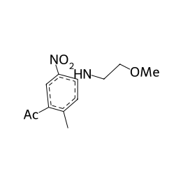 COCCNc1cc(C)c(C(C)=O)cc1[N+](=O)[O-]